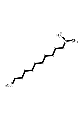 CCCCCCCCCCCCCCCCC[CH]N(C)C